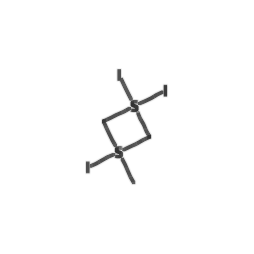 CS1(I)CS(I)(I)C1